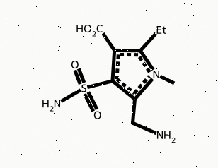 CCc1c(C(=O)O)c(S(N)(=O)=O)c(CN)n1C